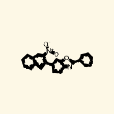 O=[N+]([O-])c1cc2ccccc2cc1-c1ccc2nc(-c3ccccc3)oc2c1